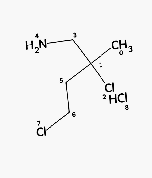 CC(Cl)(CN)CCCl.Cl